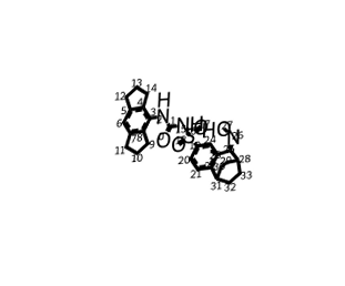 O=C(Nc1c2c(cc3c1CCC3)CCC2)NS(=O)(=O)c1ccc2c(c1)/C(=N\O)C1CCC2CC1